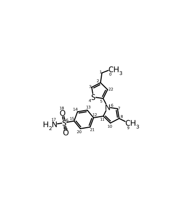 CCc1csc(-n2cc(C)cc2-c2ccc(S(N)(=O)=O)cc2)c1